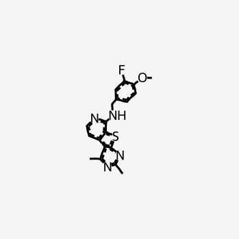 COc1ccc(CNc2nccc3c2sc2nc(C)nc(C)c23)cc1F